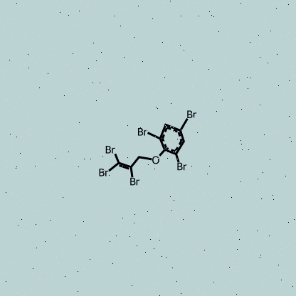 BrC(Br)=C(Br)COc1c(Br)cc(Br)cc1Br